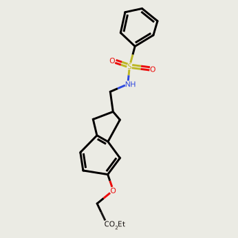 CCOC(=O)COc1ccc2c(c1)CC(CNS(=O)(=O)c1ccccc1)C2